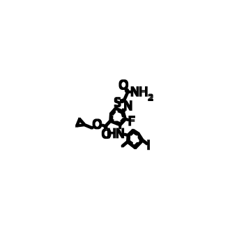 Cc1cc(I)ccc1Nc1c(C(=O)OCC2CC2)cc2sc(C(N)=O)nc2c1F